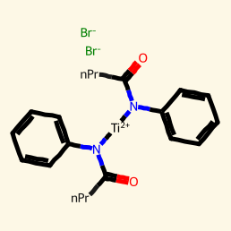 CCCC(=O)[N]([Ti+2][N](C(=O)CCC)c1ccccc1)c1ccccc1.[Br-].[Br-]